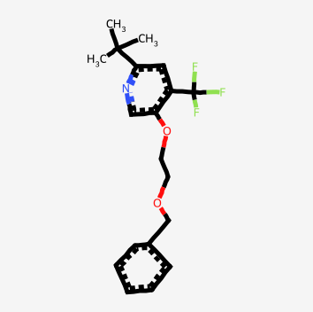 CC(C)(C)c1cc(C(F)(F)F)c(OCCOCc2ccccc2)cn1